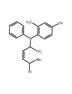 CCC(/C=C\C(C)N(c1ccccc1)c1ccc(C#N)cc1C)C(C)(C)C